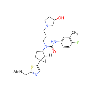 CNCc1ncc(C23CC[C@@H](N(CCCN4CC[C@@H](O)C4)C(=O)Nc4ccc(F)c(C(F)(F)F)c4)[C@H]2C3)s1